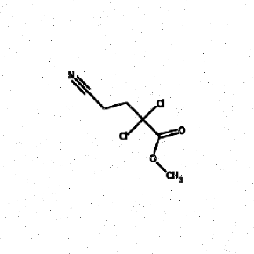 COC(=O)C(Cl)(Cl)CCC#N